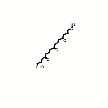 CCOCCCC(=O)CCCC(=O)CCCC(=O)CCCC=O